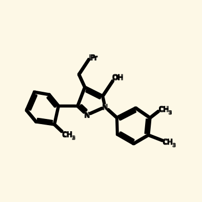 Cc1ccc(-n2nc(-c3ccccc3C)c(CC(C)C)c2O)cc1C